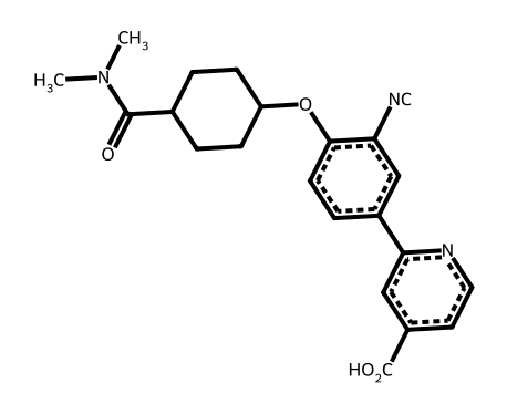 [C-]#[N+]c1cc(-c2cc(C(=O)O)ccn2)ccc1OC1CCC(C(=O)N(C)C)CC1